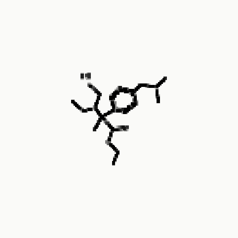 CCOC(=O)C(C)(c1ccc(CC(C)C)cc1)N(CC)CC.Cl